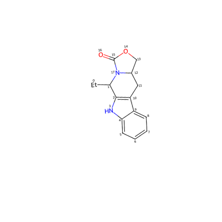 CCC1c2[nH]c3ccccc3c2CC2COC(=O)N21